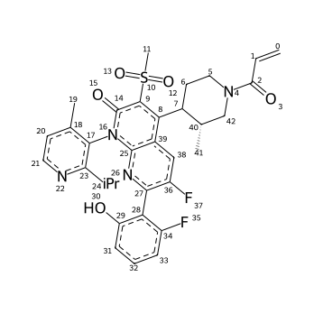 C=CC(=O)N1CCC(c2c(S(C)(=O)=O)c(=O)n(-c3c(C)ccnc3C(C)C)c3nc(-c4c(O)cccc4F)c(F)cc23)[C@@H](C)C1